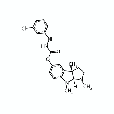 CN1CC[C@@]2(C)c3cc(OC(=O)NNc4cccc(Cl)c4)ccc3N(C)[C@@H]12